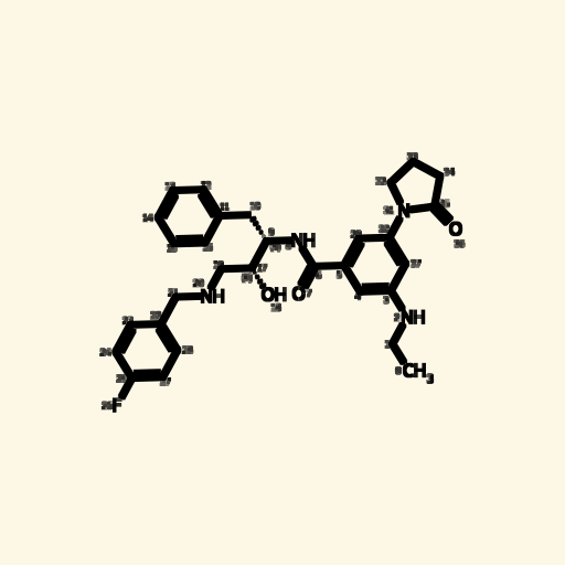 CCNc1cc(C(=O)N[C@@H](Cc2ccccc2)[C@H](O)CNCc2ccc(F)cc2)cc(N2CCCC2=O)c1